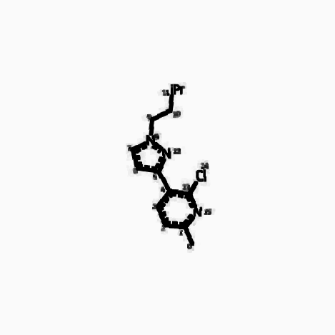 Cc1ccc(-c2ccn(CCC(C)C)n2)c(Cl)n1